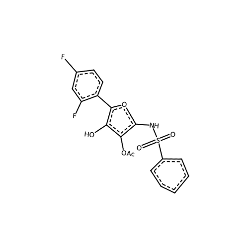 CC(=O)Oc1c(NS(=O)(=O)c2ccccc2)oc(-c2ccc(F)cc2F)c1O